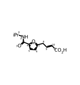 CC(C)NC(=O)c1ccc(C/C=C/C(=O)O)o1